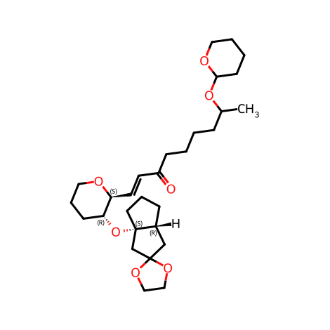 CC(CCCCC(=O)C=C[C@@H]1OCCC[C@H]1O[C@]12CCC[C@@H]1CC1(C2)OCCO1)OC1CCCCO1